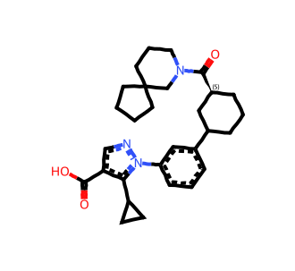 O=C(O)c1cnn(-c2cccc(C3CCC[C@H](C(=O)N4CCCC5(CCCC5)C4)C3)c2)c1C1CC1